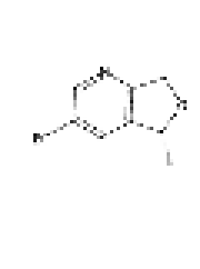 C[C@H]1OCc2ncc(Br)cc21